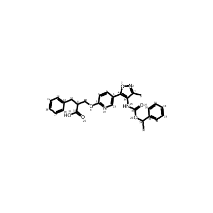 Cc1noc(-c2ccc(OCC(Cc3ccccc3)C(=O)O)nc2)c1NC(=O)OC(C)c1ccccc1